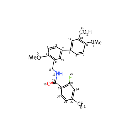 COc1ccc(-c2ccc(OC)c(C(=O)O)c2)cc1CNC(=O)c1ccc(C(F)(F)F)cc1F